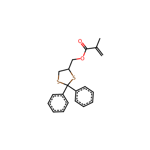 C=C(C)C(=O)OCC1CSC(c2ccccc2)(c2ccccc2)S1